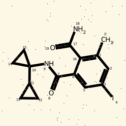 Cc1cc(I)cc(C(=O)NC2(C3CC3)CC2)c1C(N)=O